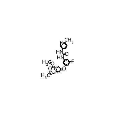 COC[C@@H]1C[C@H](Oc2cc(F)cc(NC(=O)Nc3ccc(C)nc3)c2)CN1C(=O)OC